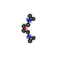 c1cc(-c2cnc3c4ccccc4c4ccccc4c3n2)cc(-c2cccc3c2oc2c(-c4cccc(-c5cnc6c7ccccc7c7ccccc7c6n5)c4)cccc23)c1